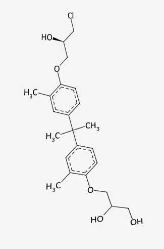 Cc1cc(C(C)(C)c2ccc(OC[C@@H](O)CCl)c(C)c2)ccc1OCC(O)CO